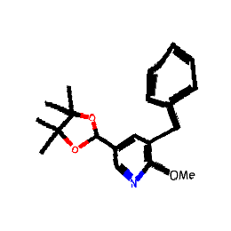 COc1ncc(C2OC(C)(C)C(C)(C)O2)cc1Cc1ccccc1